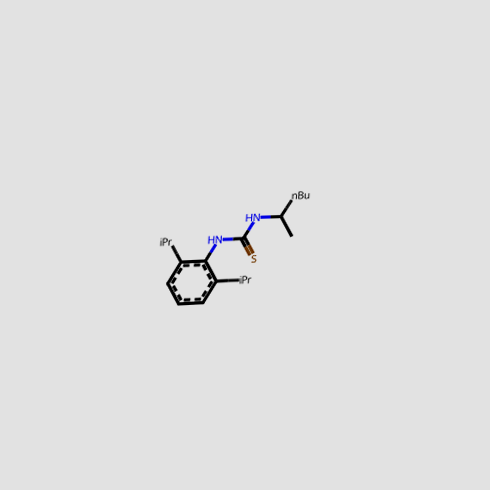 CCCCC(C)NC(=S)Nc1c(C(C)C)cccc1C(C)C